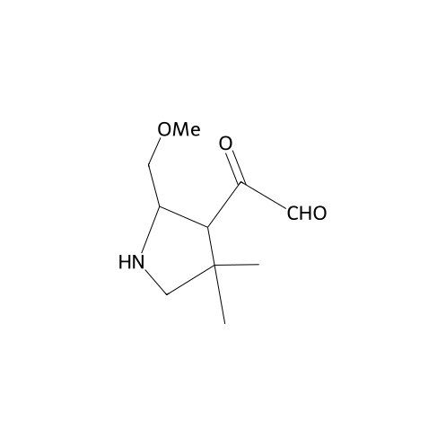 COCC1NCC(C)(C)C1C(=O)C=O